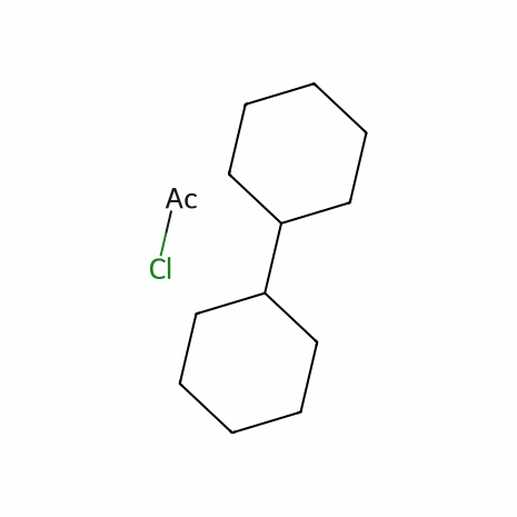 C1CCC(C2CCCCC2)CC1.CC(=O)Cl